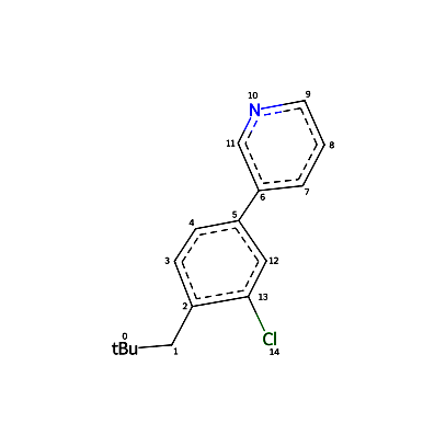 CC(C)(C)Cc1ccc(-c2cccnc2)cc1Cl